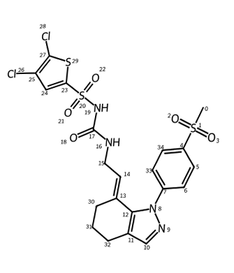 CS(=O)(=O)c1ccc(-n2ncc3c2C(=CCNC(=O)NS(=O)(=O)c2cc(Cl)c(Cl)s2)CCC3)cc1